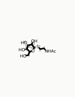 CC(=O)NCCS[C@@H]1OC(CO)[C@H](O)[C@H](O)C1O